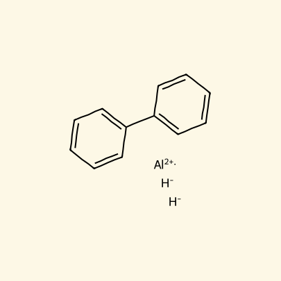 [Al+2].[H-].[H-].c1ccc(-c2ccccc2)cc1